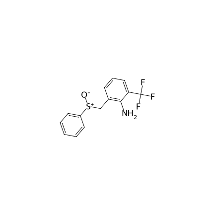 Nc1c(C[S+]([O-])c2ccccc2)cccc1C(F)(F)F